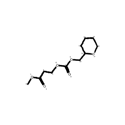 COC(=O)CCOC(=O)OCC1CCCCO1